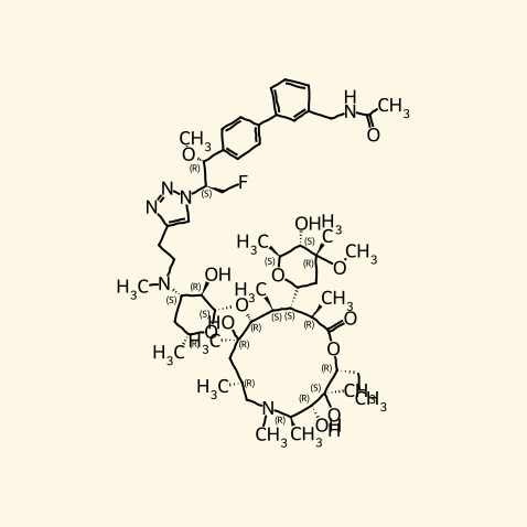 CC[C@H]1OC(=O)[C@H](C)[C@@H](C2C[C@@](C)(OC)[C@@H](O)[C@H](C)O2)[C@H](C)[C@@H](O[C@@H]2O[C@H](C)C[C@H](N(C)CCc3cn([C@H](CF)[C@H](OC)c4ccc(-c5cccc(CNC(C)=O)c5)cc4)nn3)[C@H]2O)[C@](C)(O)C[C@@H](C)CN(C)[C@H](C)[C@@H](O)[C@]1(C)O